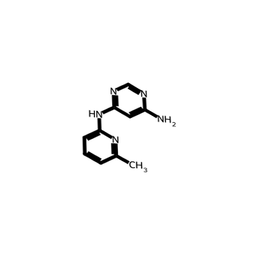 Cc1cccc(Nc2cc(N)ncn2)n1